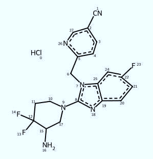 Cl.N#Cc1ccc(Cn2c(N3CCC(F)(F)C(N)C3)nc3ccc(F)cc32)nc1